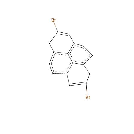 BrC1=Cc2ccc3c4c(ccc(c24)C1)C=C(Br)C3